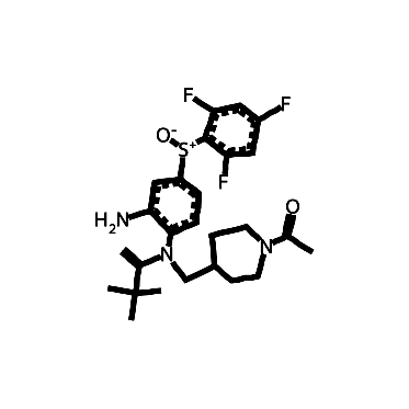 C=C(N(CC1CCN(C(C)=O)CC1)c1ccc([S+]([O-])c2c(F)cc(F)cc2F)cc1N)C(C)(C)C